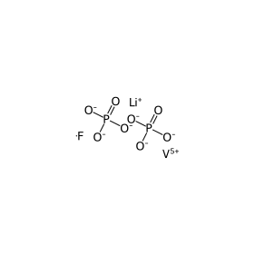 O=P([O-])([O-])[O-].O=P([O-])([O-])[O-].[F].[Li+].[V+5]